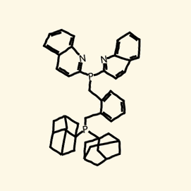 c1ccc(CP(C23CC4CC(CC(C4)C2)C3)C23CC4CC(CC(C4)C2)C3)c(CP(c2ccc3ccccc3n2)c2ccc3ccccc3n2)c1